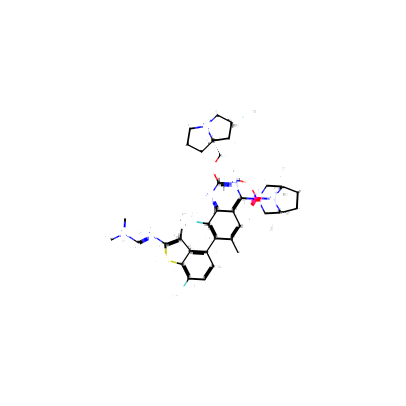 Cc1cc2c(N3C[C@H]4CC[C@@H](C3)N4C(=O)OC(C)(C)C)nc(OC[C@@]34CCCN3C[C@H](F)C4)nc2c(F)c1-c1ccc(F)c2sc(/N=C/N(C)C)c(C#N)c12